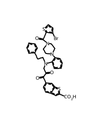 O=C(CN(CCc1ccccc1)c1ccccc1N1CCN(C(=O)c2sccc2Br)CC1)C(=O)c1ccc2cc(C(=O)O)sc2c1